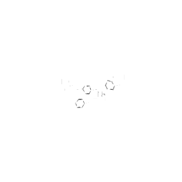 Cc1cc(C(=O)N(CCCc2ccccc2)Cc2ccc(CCC(=O)O)cc2)cc(C)c1O